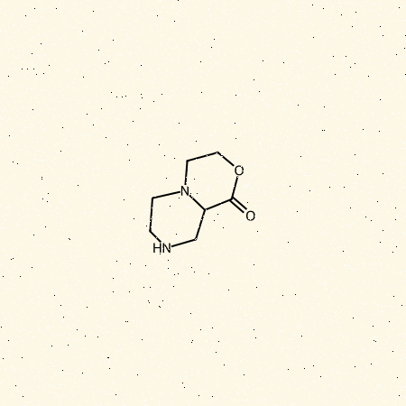 O=C1OCCN2CCNCC12